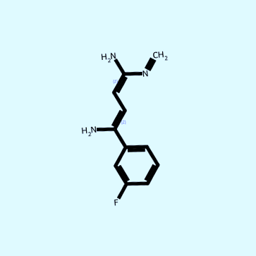 C=N/C(N)=C\C=C(/N)c1cccc(F)c1